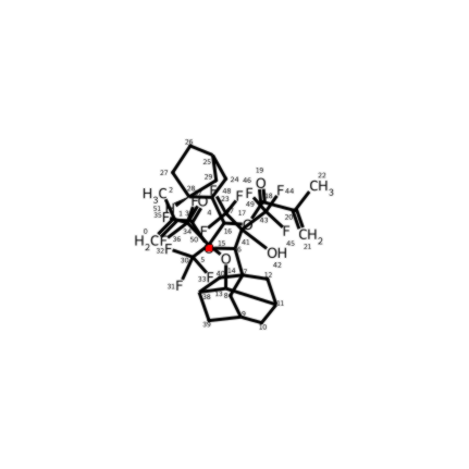 C=C(C)C(=O)OC(C12CC3CC(C1)C(OC(C(OC(=O)C(=C)C)C1CC4CC[C@@H]1C4)(C(F)(F)F)C(F)(F)F)C(C3)C2)C(O)(C(F)(F)F)C(F)(F)F